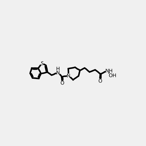 O=C(CCCC1CCN(C(=O)NCc2csc3ccccc23)CC1)NO